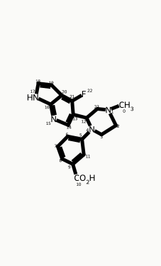 CN1CCN(c2cccc(C(=O)O)c2)C(c2cnc3[nH]ccc3c2F)C1